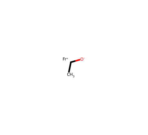 CC[O-].[Fr+]